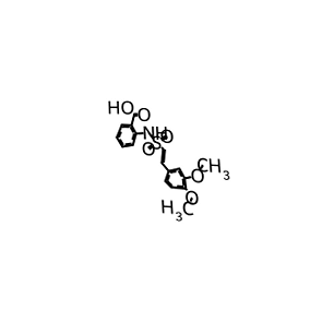 COc1ccc(C=CS(=O)(=O)Nc2ccccc2C(=O)O)cc1OC